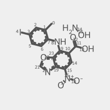 Cc1cc(I)ccc1Nc1c(C(=O)O)cc([N+](=O)[O-])c2ncoc12.NO